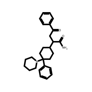 NC(=O)C(CC(=O)c1ccccc1)C1CCC(c2ccccc2)(N2CCCCC2)CC1